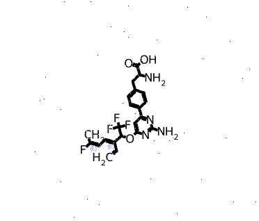 C=C/C(=C\C=C(/C)F)C(Oc1cc(-c2ccc(CC(N)C(=O)O)cc2)nc(N)n1)C(F)(F)F